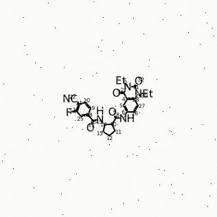 CCn1c(=O)c2cc(NC(=O)C3CCCC3NC(=O)c3ccc(C#N)c(F)c3)ccc2n(CC)c1=O